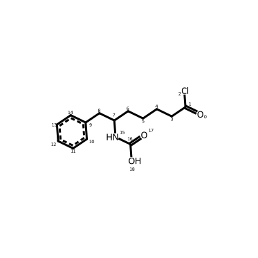 O=C(Cl)CCCCC(Cc1ccccc1)NC(=O)O